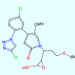 COc1cn(C(CCOC(C)(C)C)C2OC2O)c(=O)cc1-c1cc(Cl)ccc1-n1cc(Cl)nn1